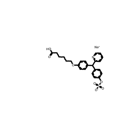 O=C(O)CCCCCOc1ccc(C(c2ccc(OS(=O)(=O)[O-])cc2)c2ccccn2)cc1.[Na+]